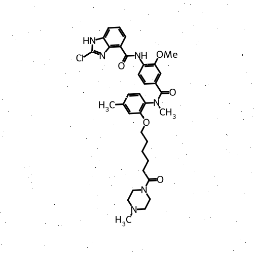 COc1cc(C(=O)N(C)c2ccc(C)cc2OCCCCCC(=O)N2CCN(C)CC2)ccc1NC(=O)c1cccc2[nH]c(Cl)nc12